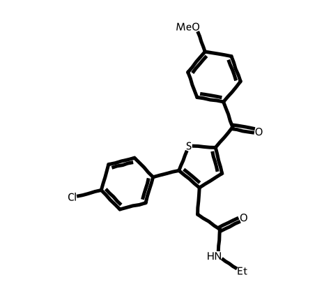 CCNC(=O)Cc1cc(C(=O)c2ccc(OC)cc2)sc1-c1ccc(Cl)cc1